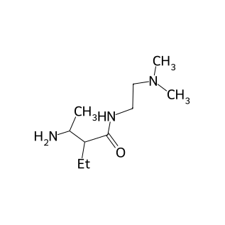 CCC(C(=O)NCCN(C)C)C(C)N